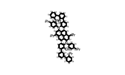 CC(C)c1ccc(N(c2cccc(-c3cccc(-c4ccccc4C(C)C)c3)c2O)c2cc(C(C)C)c3ccc4c(N(c5ccc(C(C)C)cc5)c5cccc6c5oc5c(-c7ccccc7C(C)C)cccc56)cc(C(C)C)c5ccc2c3c54)cc1